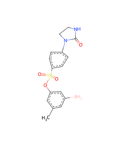 Bc1cc(C)cc(OS(=O)(=O)c2ccc(N3CCNC3=O)cc2)c1